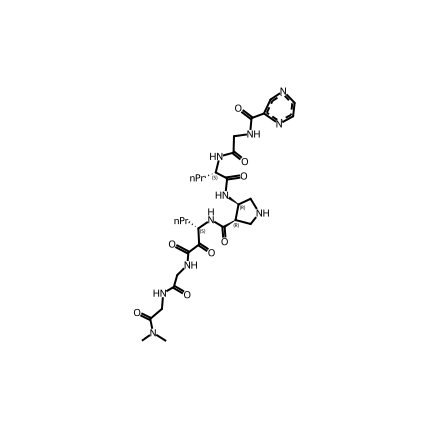 CCC[C@H](NC(=O)CNC(=O)c1cnccn1)C(=O)N[C@H]1CNC[C@H]1C(=O)N[C@@H](CCC)C(=O)C(=O)NCC(=O)NCC(=O)N(C)C